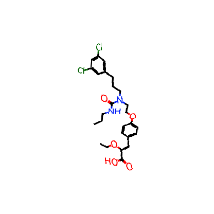 CCCNC(=O)N(CCCc1cc(Cl)cc(Cl)c1)CCOc1ccc(CC(OCC)C(=O)O)cc1